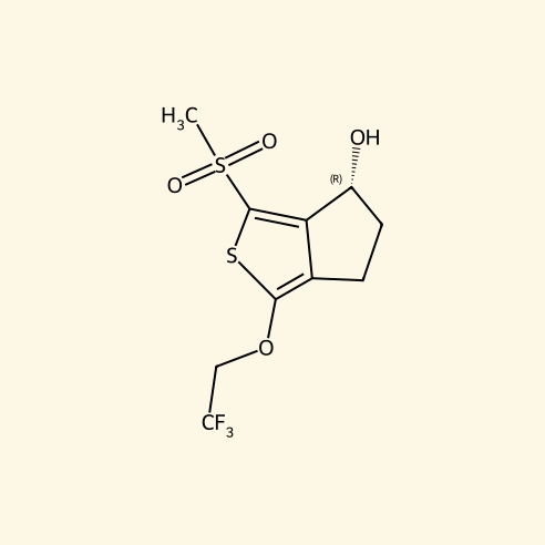 CS(=O)(=O)c1sc(OCC(F)(F)F)c2c1[C@H](O)CC2